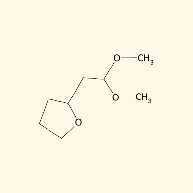 COC(CC1CCCO1)OC